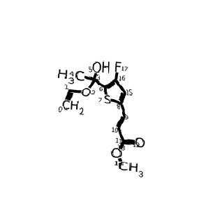 C=COC(C)(O)c1sc(C=CC(=O)OC)cc1F